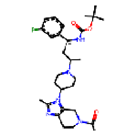 CC(=O)N1CCc2nc(C)n(C3CCN(C(C)C[C@H](NC(=O)OC(C)(C)C)c4cccc(F)c4)CC3)c2C1